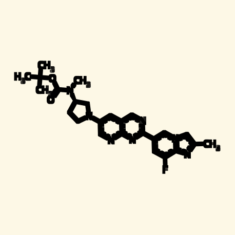 Cc1cn2cc(-c3ncc4cc(N5CC[C@@H](N(C)C(=O)OC(C)(C)C)C5)cnc4n3)cc(F)c2n1